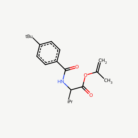 C=C(C)OC(=O)C(NC(=O)c1ccc(C(C)(C)C)cc1)C(C)C